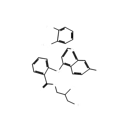 CC(=O)Oc1ccccc1C(=O)O.O=C(OCC(O)CO)c1ccccc1Nc1ccnc2cc(Cl)ccc12